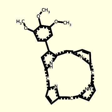 COc1cc(-c2cc3cc4nc(cc5ccc(cc6nc(cc2[nH]3)C=C6)[nH]5)C=C4)cc(OC)c1OC